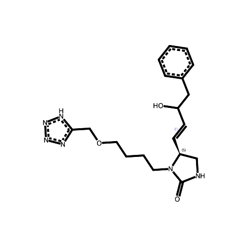 O=C1NC[C@H](/C=C/C(O)Cc2ccccc2)N1CCCCOCc1nnn[nH]1